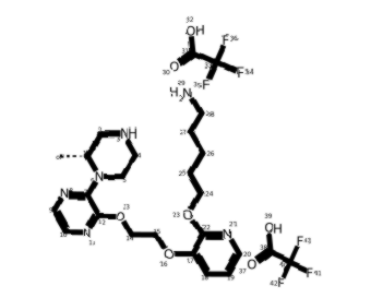 C[C@@H]1CNCCN1c1nccnc1OCCOc1cccnc1OCCCCCN.O=C(O)C(F)(F)F.O=C(O)C(F)(F)F